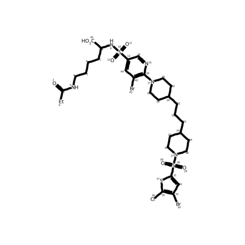 CCC(=O)NCCCCC(NS(=O)(=O)c1cnc(N2CCC(CCCC3CCN(S(=O)(=O)c4cc(Br)c(Cl)s4)CC3)CC2)c(Br)c1)C(=O)O